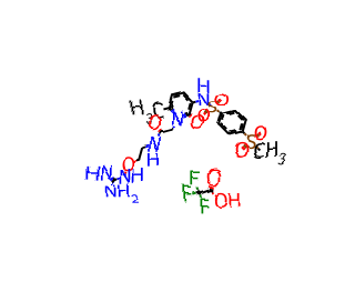 Cc1ccc(NS(=O)(=O)c2ccc(S(C)(=O)=O)cc2)c(=O)n1CC(=O)NCCONC(=N)N.O=C(O)C(F)(F)F